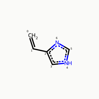 C=Cc1c[nH]cn1